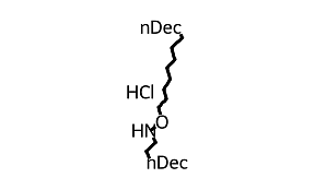 CCCCCCCCCCCCCCCCCCONCCCCCCCCCCCC.Cl